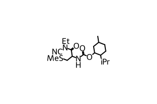 CCN(C#N)C(=O)C(CSC)NC(=O)OC1CC(C)CCC1C(C)C